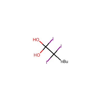 CCCCC(I)(I)C(O)(O)I